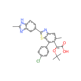 Cc1nc2cc(-c3nc4cc(C)c([C@H](OC(C)(C)C)C(=O)O)c(-c5ccc(Cl)cc5)c4s3)ccc2[nH]1